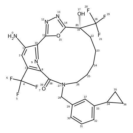 Nc1cc(C(F)(F)F)c2nc1-c1nnc(o1)[C@@](O)(C(F)(F)F)CCCCCN(Cc1cccc(C3CC3)c1)C2=O